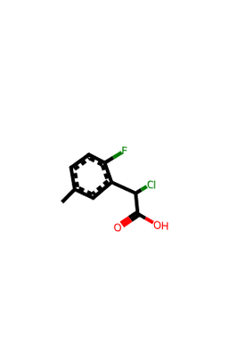 Cc1ccc(F)c(C(Cl)C(=O)O)c1